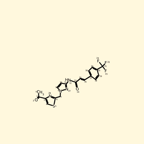 CC(=O)c1csc(Cn2ccc(NC(=O)C=Cc3ccc(C(F)(F)F)cc3)n2)n1